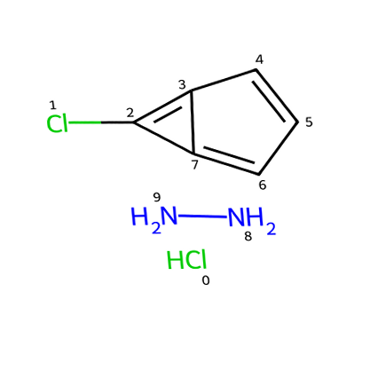 Cl.Clc1c2cccc1-2.NN